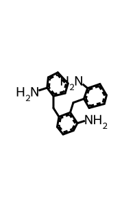 Nc1ccccc1Cc1cccc(N)c1Cc1ccccc1N